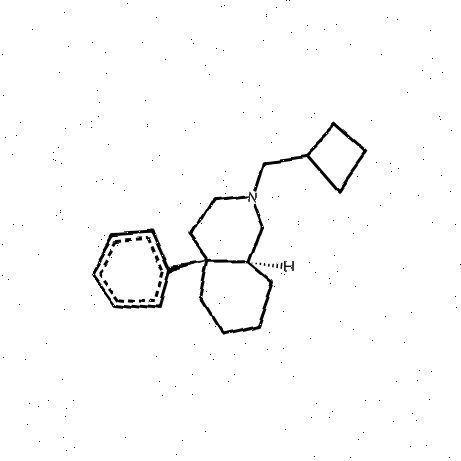 c1ccc([C@]23CCCC[C@@H]2CN(CC2CCC2)CC3)cc1